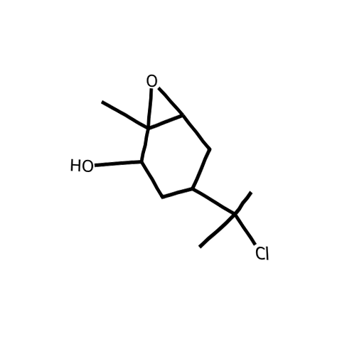 CC(C)(Cl)C1CC(O)C2(C)OC2C1